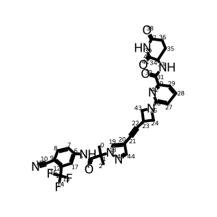 CC(C)(C(=O)Nc1ccc(C#N)c(C(F)(F)F)c1)n1cc(C#CC2CN(c3cccc(C(=O)NC4CCC(=O)NC4=O)n3)C2)cn1